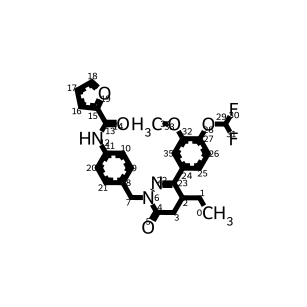 CCC1CC(=O)N(Cc2ccc(NC(=O)c3ccco3)cc2)N=C1c1ccc(OC(F)F)c(OC)c1